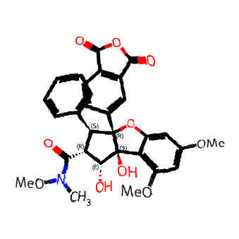 COc1cc(OC)c2c(c1)O[C@@]1(c3ccc4c(c3)C(=O)OC4=O)[C@H](c3ccccc3)[C@@H](C(=O)N(C)OC)[C@@H](O)[C@@]21O